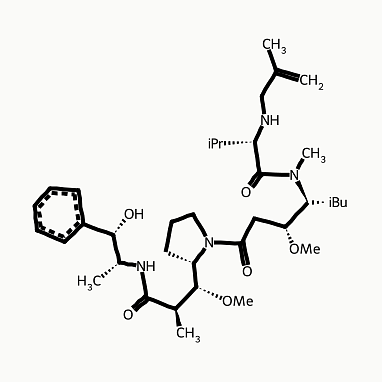 C=C(C)CN[C@H](C(=O)N(C)[C@@H]([C@@H](C)CC)[C@@H](CC(=O)N1CCC[C@H]1[C@H](OC)[C@@H](C)C(=O)N[C@H](C)[C@@H](O)c1ccccc1)OC)C(C)C